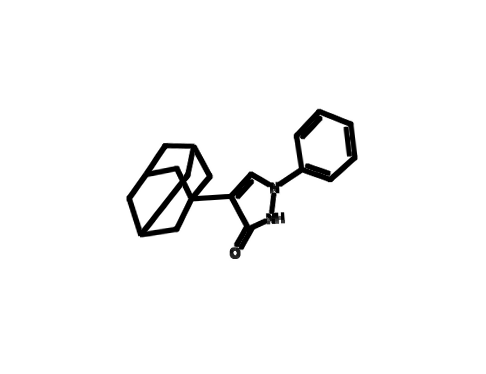 O=c1[nH]n(-c2ccccc2)cc1C12CC3CC(CC(C3)C1)C2